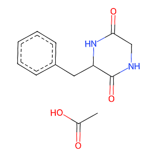 CC(=O)O.O=C1CNC(=O)C(Cc2ccccc2)N1